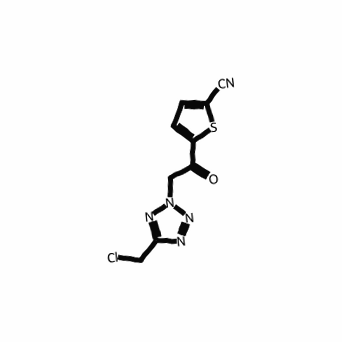 N#Cc1ccc(C(=O)Cn2nnc(CCl)n2)s1